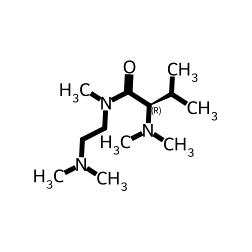 CC(C)[C@H](C(=O)N(C)CCN(C)C)N(C)C